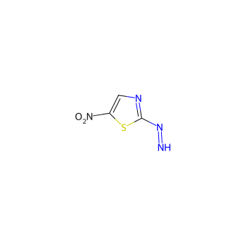 N=Nc1ncc([N+](=O)[O-])s1